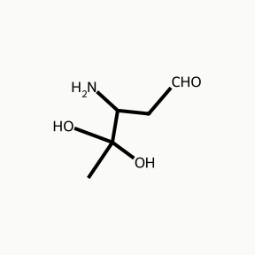 CC(O)(O)C(N)CC=O